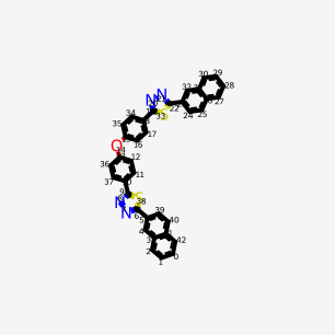 c1ccc2cc(-c3nnc(-c4ccc(Oc5ccc(-c6nnc(-c7ccc8ccccc8c7)s6)cc5)cc4)s3)ccc2c1